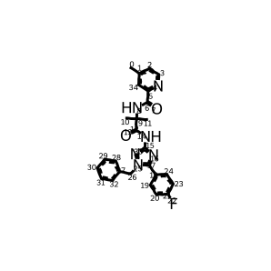 Cc1ccnc(C(=O)NC(C)(C)C(=O)Nc2nc(-c3ccc(F)cc3)n(Cc3ccccc3)n2)c1